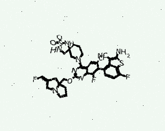 N#Cc1c(N)sc2c(F)ccc(-c3c(Cl)cc4c(N5CCC[C@]6(CNS(=O)(=O)N6)C5)nc(OCC56CCCN5C/C(=C\F)C6)nc4c3F)c12